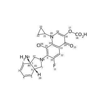 N[C@]12C=CC=C[C@H]1CN(c1c(F)cc3c(=O)c(OC(=O)O)cn(C4CC4)c3c1Cl)C2